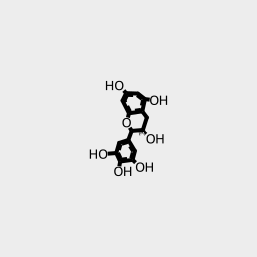 Oc1cc(O)c2c(c1)OC(c1cc(O)c(O)c(O)c1)[C@H](O)C2